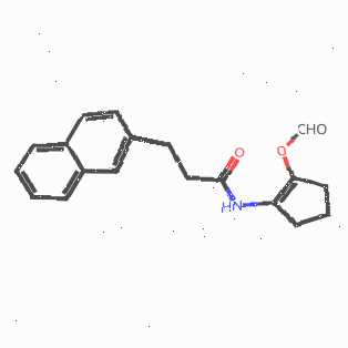 O=COC1=C(NC(=O)CCc2ccc3ccccc3c2)CCC1